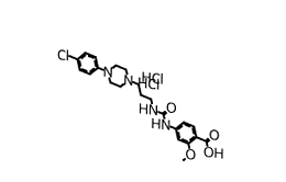 COc1cc(NC(=O)NCCCN2CCN(c3ccc(Cl)cc3)CC2)ccc1C(=O)O.Cl.Cl